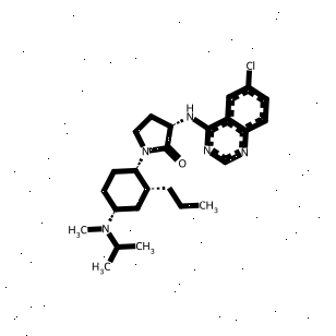 CCC[C@@H]1C[C@H](N(C)C(C)C)CC[C@@H]1N1CC[C@H](Nc2ncnc3ccc(Cl)cc23)C1=O